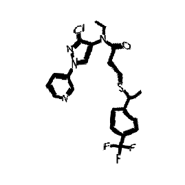 CCN(C(=O)CCSC(C)c1ccc(C(F)(F)F)cc1)c1cn(-c2cccnc2)nc1Cl